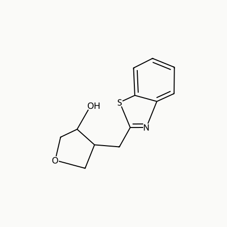 OC1COCC1Cc1nc2ccccc2s1